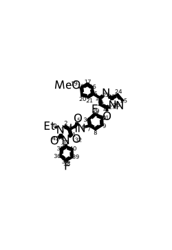 CCn1cc(C(=O)Nc2ccc(Oc3cc(-c4ccc(OC)cc4)nc4ccnn34)c(F)c2)c(=O)n(-c2ccc(F)cc2)c1=O